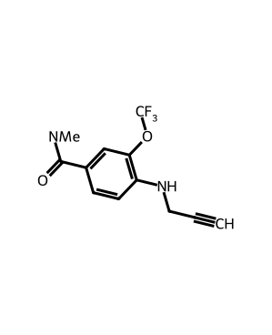 C#CCNc1ccc(C(=O)NC)cc1OC(F)(F)F